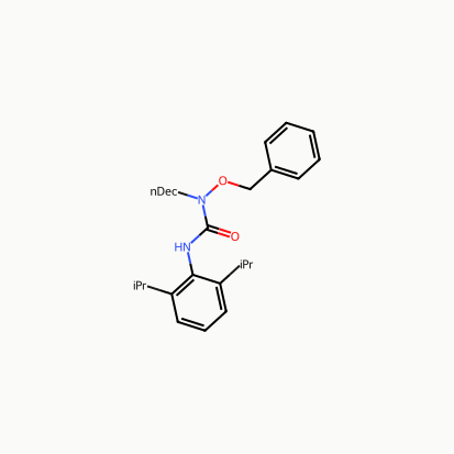 CCCCCCCCCCN(OCc1ccccc1)C(=O)Nc1c(C(C)C)cccc1C(C)C